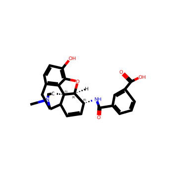 CN1CC[C@]23c4c5ccc(O)c4O[C@H]2[C@H](NC(=O)c2cccc(C(=O)O)c2)C=CC3C1C5